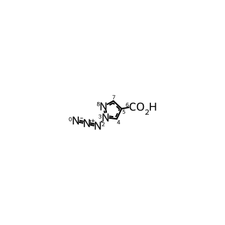 [N-]=[N+]=Nn1cc(C(=O)O)cn1